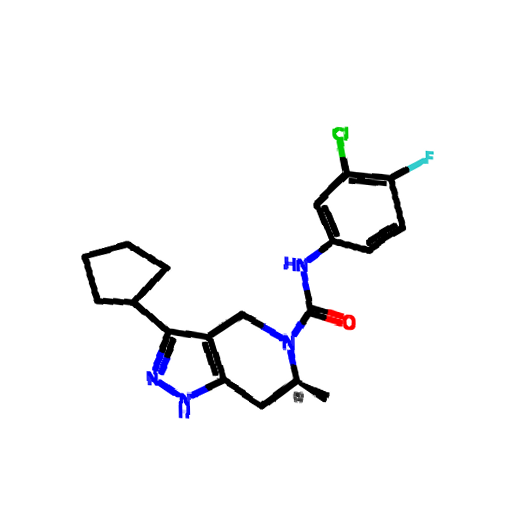 C[C@H]1Cc2[nH]nc(C3CCCC3)c2CN1C(=O)Nc1ccc(F)c(Cl)c1